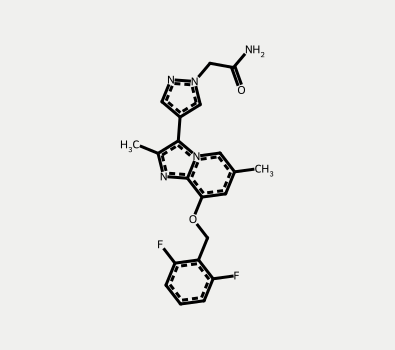 Cc1cc(OCc2c(F)cccc2F)c2nc(C)c(-c3cnn(CC(N)=O)c3)n2c1